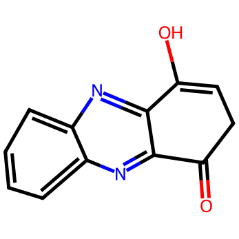 O=C1CC=C(O)c2nc3ccccc3nc21